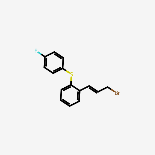 Fc1ccc(Sc2ccccc2C=CCBr)cc1